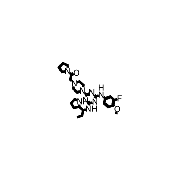 CCC(Nc1nc(Nc2ccc(OC)c(F)c2)nc(N2CCN(CC(=O)N3CCCC3)CC2)n1)C1CCCN1